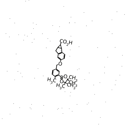 Cc1ccc(COc2ccc3c(c2)CC2C(C(=O)O)C32)cc1B1OC(C)(C)C(C)(C)O1